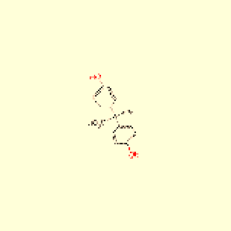 [CH2]CCC(C(=O)O)(c1ccc(O)cc1)c1ccc(O)cc1